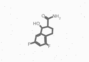 NC(=O)C1CCc2c(F)cc(F)cc2C1O